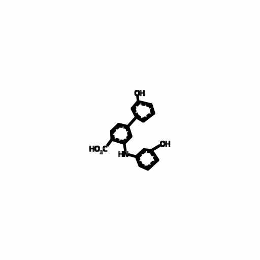 O=C(O)c1ccc(-c2cccc(O)c2)cc1Nc1cccc(O)c1